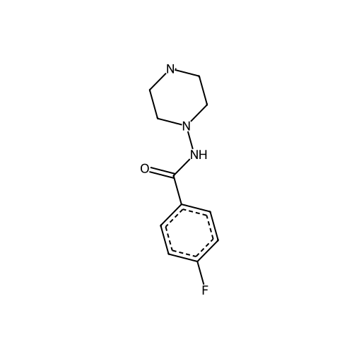 O=C(NN1CC[N]CC1)c1ccc(F)cc1